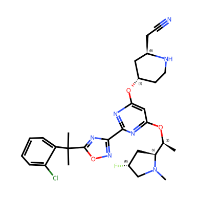 C[C@H](Oc1cc(O[C@H]2CCN[C@H](CC#N)C2)nc(-c2noc(C(C)(C)c3ccccc3Cl)n2)n1)[C@@H]1C[C@@H](F)CN1C